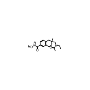 CCN(CC1(C)CCc2cc(C(=O)NO)ccc2C1)C(C)=O